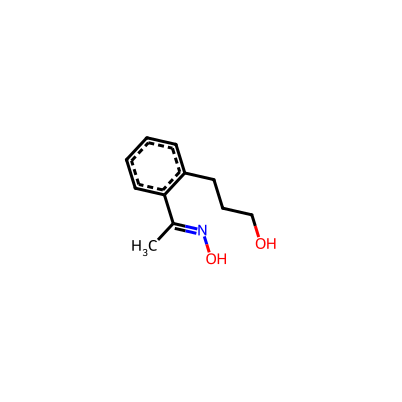 CC(=NO)c1ccccc1CCCO